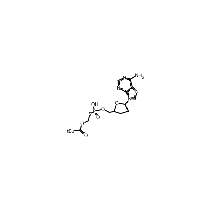 CC(C)(C)C(=O)OCSP(=O)(O)OCC1CCC(n2cnc3c(N)ncnc32)O1